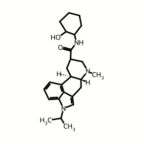 CC(C)n1cc2c3c(cccc31)[C@H]1CC(C(=O)NC3CCCCC3O)CN(C)[C@@H]1C2